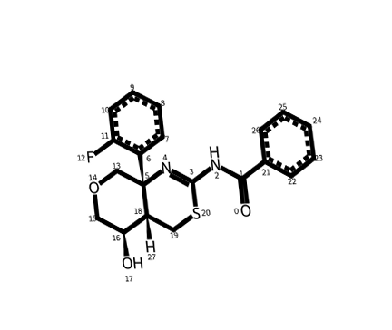 O=C(NC1=N[C@@]2(c3ccccc3F)COC[C@H](O)[C@H]2CS1)c1ccccc1